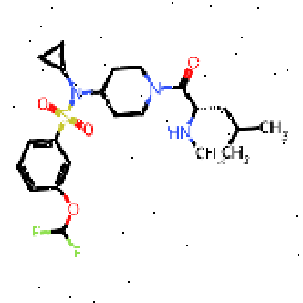 CN[C@@H](CC(C)C)C(=O)N1CCC(N(C2CC2)S(=O)(=O)c2cccc(OC(F)F)c2)CC1